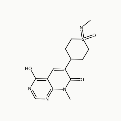 CN=S1(=O)CCC(c2cc3c(O)ncnc3n(C)c2=O)CC1